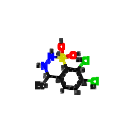 CCC1N=NS(=O)(=O)c2c1ccc(Cl)c2Cl